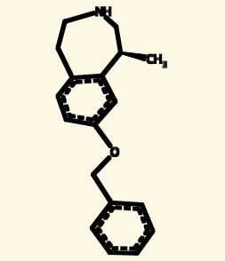 C[C@@H]1CNCCc2ccc(OCc3ccccc3)cc21